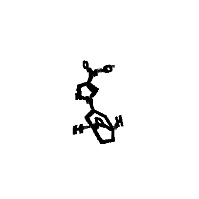 O=[N+]([O-])c1cnn(C2C[C@H]3CC[C@@H](C2)O3)c1